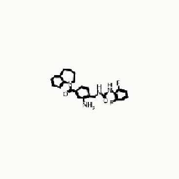 Nc1cc(C(=O)N2CCCCc3ccccc32)ccc1CNC(=O)Nc1c(F)cccc1F